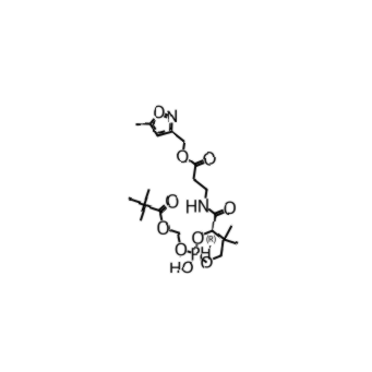 Cc1cc(COC(=O)CCNC(=O)[C@@H]2O[PH](O)(OCOC(=O)C(C)(C)C)OCC2(C)C)no1